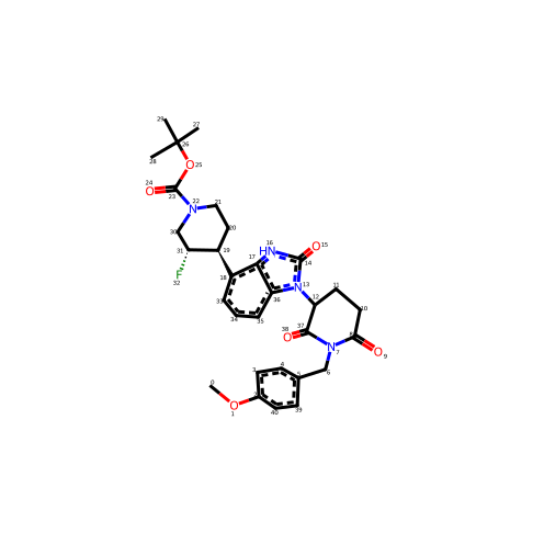 COc1ccc(CN2C(=O)CCC(n3c(=O)[nH]c4c([C@@H]5CCN(C(=O)OC(C)(C)C)C[C@H]5F)cccc43)C2=O)cc1